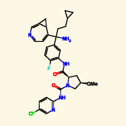 CO[C@@H]1C[C@H](C(=O)Nc2cc(C(N)(CCC3CC3)C3=CC=NC=C4CC43)ccc2F)N(C(=O)Nc2ccc(Cl)cn2)C1